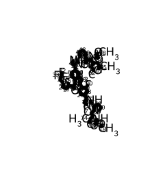 COC(=O)N[C@H](C(=O)N1CCC[C@H]1c1ncc(-c2cc(F)c3c(c2)OC(c2ccc(CC(F)(F)F)s2)n2c-3cc3cc(-c4cnc([C@@H]5CCCN5C(=O)[C@@H](NC(=O)OC)C5C[C@@H](C)O[C@@H](C)C5)[nH]4)ccc32)[nH]1)C(C)C